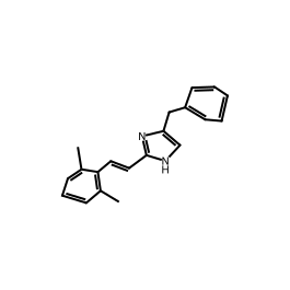 Cc1cccc(C)c1C=Cc1nc(Cc2ccccc2)c[nH]1